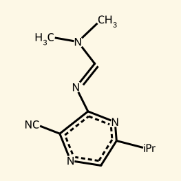 CC(C)c1cnc(C#N)c(N=CN(C)C)n1